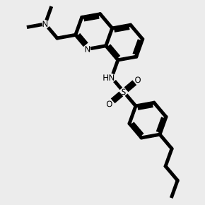 CCCCc1ccc(S(=O)(=O)Nc2cccc3ccc(CN(C)C)nc23)cc1